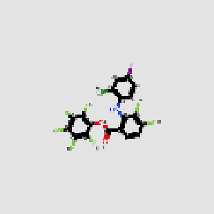 O=C(Oc1c(F)c(F)c(F)c(F)c1F)c1ccc(F)c(F)c1Nc1ccc(I)cc1Cl